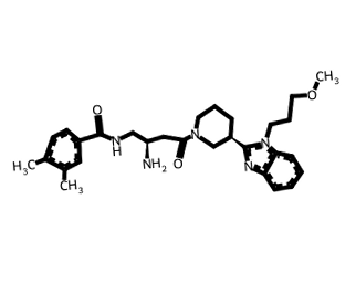 COCCCn1c([C@@H]2CCCN(C(=O)C[C@@H](N)CNC(=O)c3ccc(C)c(C)c3)C2)nc2ccccc21